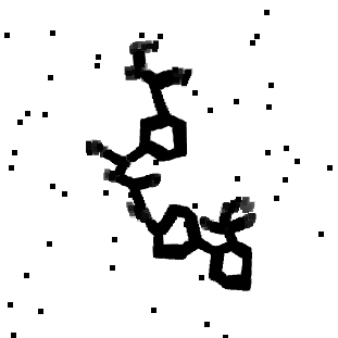 CCCN(NC(=O)Nc1ccc(-c2ccccc2S(N)(=O)=O)cc1)c1cccc(C(=N)NO)c1